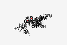 CC[C@H](C)[C@H](NC(=O)CNC(=O)[C@@H](N)CS)C(=O)N[C@@H](CO)C(=O)N[C@H](C(=O)N[C@@H](C)C(=O)N[C@@H](CO)C(=O)N[C@H](C(=O)N1CCC[C@H]1C(=O)N1CCC[C@H]1C(=O)N[C@H](C(=O)N[C@@H](CS)C(=O)N[C@@H](CCC(N)=O)C(=O)O)[C@@H](C)CC)[C@@H](C)CC)[C@@H](C)O